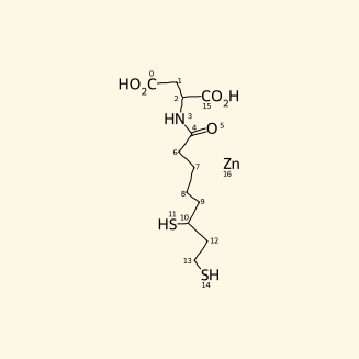 O=C(O)CC(NC(=O)CCCCC(S)CCS)C(=O)O.[Zn]